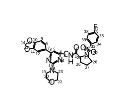 O=C(NCc1cc(-c2ccc3c(c2)OCO3)nc(N2CCOCC2)n1)[C@@H]1CCCN1S(=O)(=O)c1ccc(F)cc1